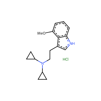 COc1cccc2[nH]cc(CCN(C3CC3)C3CC3)c12.Cl